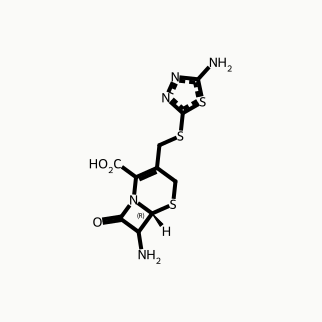 Nc1nnc(SCC2=C(C(=O)O)N3C(=O)C(N)[C@H]3SC2)s1